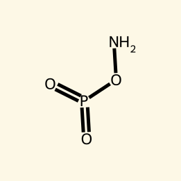 NOP(=O)=O